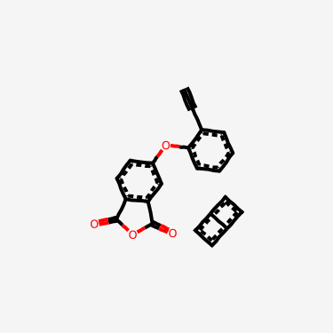 C#Cc1ccccc1Oc1ccc2c(c1)C(=O)OC2=O.c1cc2ccc1-2